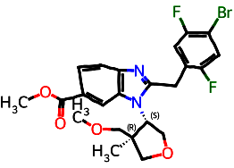 COC[C@]1(C)COC[C@H]1n1c(Cc2cc(F)c(Br)cc2F)nc2ccc(C(=O)OC)cc21